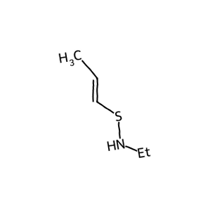 C/C=C/SNCC